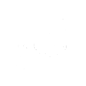 C[C@@H](NCc1ccc(C(F)(F)F)c(-c2ccc(C(F)(F)F)cc2)c1)c1ccccc1